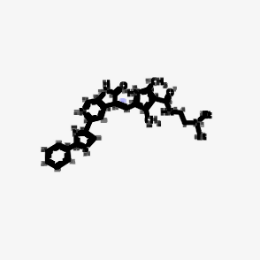 CCN(CC)CCNC(=O)c1c(C)[nH]c(/C=C2\C(=O)Nc3cnc(-c4csc(-c5ccccc5)n4)cc32)c1C